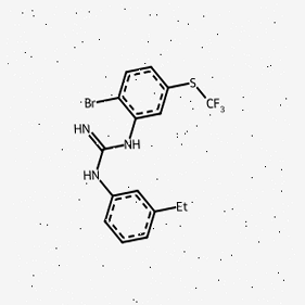 CCc1cccc(NC(=N)Nc2cc(SC(F)(F)F)ccc2Br)c1